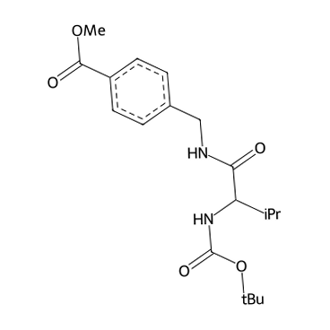 COC(=O)c1ccc(CNC(=O)C(NC(=O)OC(C)(C)C)C(C)C)cc1